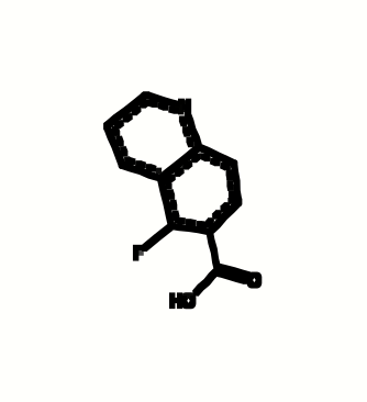 O=C(O)c1ccc2ncccc2c1F